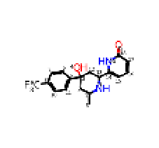 CC1CC(O)(c2ccc(C(F)(F)F)cc2)CC(c2cccc(=O)[nH]2)N1